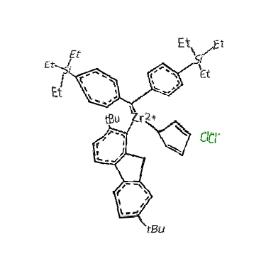 CC[Si](CC)(CC)c1ccc([C](c2ccc([Si](CC)(CC)CC)cc2)=[Zr+2]([c]2c(C(C)(C)C)ccc3c2Cc2cc(C(C)(C)C)ccc2-3)[CH]2C=CC=C2)cc1.[Cl-].[Cl-]